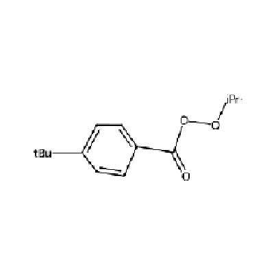 C[C](C)OOC(=O)c1ccc(C(C)(C)C)cc1